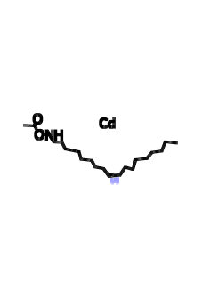 CCCCCCCC/C=C\CCCCCCCCNOC(C)=O.[Cd]